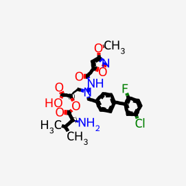 COc1cc(C(=O)NN(Cc2ccc(-c3cc(Cl)ccc3F)cc2)C[C@@H](OC(=O)[C@@H](N)C(C)C)C(=O)O)on1